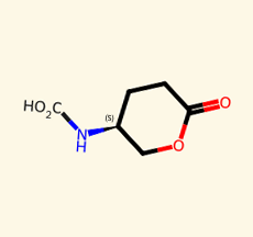 O=C(O)N[C@H]1CCC(=O)OC1